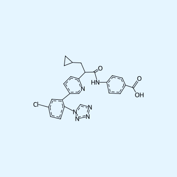 O=C(O)c1ccc(NC(=O)C(CC2CC2)c2ccc(-c3cc(Cl)ccc3-n3cnnn3)cn2)cc1